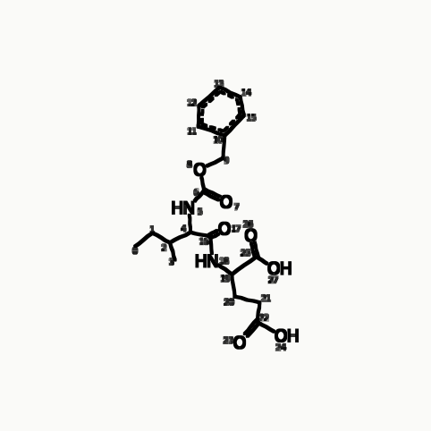 CCC(C)C(NC(=O)OCc1ccccc1)C(=O)NC(CCC(=O)O)C(=O)O